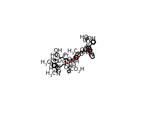 Cc1ncsc1-c1ccc([C@H](C)NC(=O)[C@@H]2C[C@@H](O)CN2C(=O)[C@@H](c2cc(OCCN3CCN(CCOc4cc(N5C6CCC5CN(c5cc(-c7ccccc7OP(=O)(O)O)nnc5NC(=O)OCc5ccc(NC(=O)[C@H](CCCCN(C)C)NC(=O)C7(C(=O)O)CCC7)cc5)C6)ccn4)[C@H](C)C3)no2)C(C)C)cc1